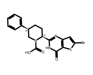 O=C(O)N1C[C@@H](c2ccccc2)CC[C@H]1c1nc2cc(Br)sc2c(=O)[nH]1